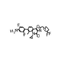 Cc1c(-c2cc(F)c(N)cc2F)ccc2c3oc(CN4CCC(F)(F)C4)nc3c(=O)n(C3CC3)c12